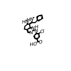 CN/C(Cc1ccccc1)=C1\C(=N)CCc2cnc(Nc3ccc(C(=O)O)cc3Cl)nc21